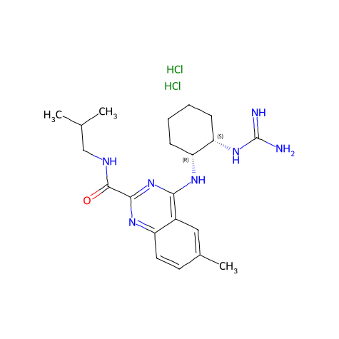 Cc1ccc2nc(C(=O)NCC(C)C)nc(N[C@@H]3CCCC[C@@H]3NC(=N)N)c2c1.Cl.Cl